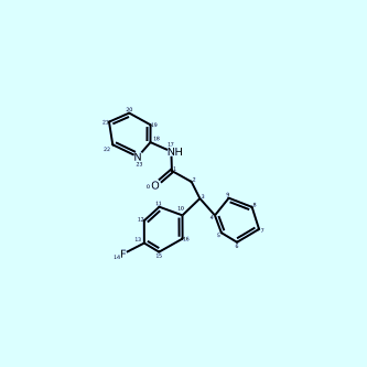 O=C(CC(c1ccccc1)c1ccc(F)cc1)Nc1ccccn1